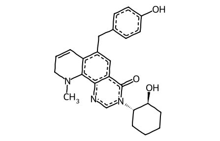 CN1CC=Cc2c(Cc3ccc(O)cc3)cc3c(=O)n([C@H]4CCCC[C@@H]4O)cnc3c21